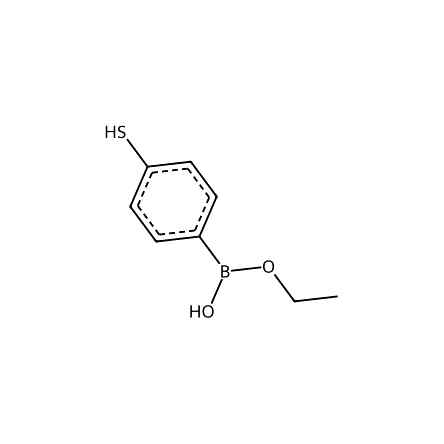 CCOB(O)c1ccc(S)cc1